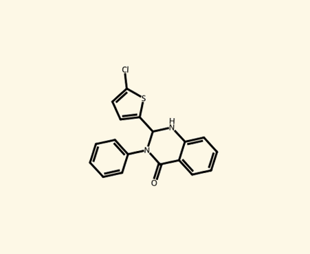 O=C1c2ccccc2NC(c2ccc(Cl)s2)N1c1ccccc1